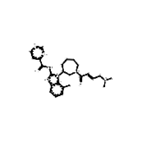 Cc1cccc2nc(NC(=O)c3ccncn3)n(C3CCCCN(C(=O)C=CCN(C)C)C3)c12